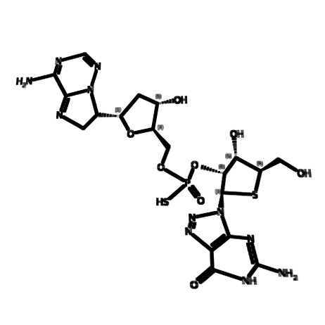 NC1=NC=NN2C1=NCC2[C@@H]1C[C@H](O)[C@@H](COP(=O)(S)O[C@@H]2[C@H](O)[C@@H](CO)S[C@H]2n2nnc3c(=O)[nH]c(N)nc32)O1